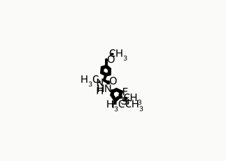 CNC(C(=O)Nc1cc(F)c([Si](C)(C)C)c(F)c1)c1ccc(COC)cc1